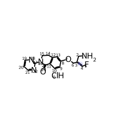 Cl.NC/C(=C\F)COc1ccc2c(c1)CCN(c1ncccn1)C2=O